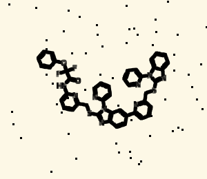 O=C(Nc1cccc(CSc2nc3ccc(-c4cccc(CSc5nc6ccccc6n5-c5ccccn5)n4)cc3n2-c2ccccn2)n1)C(F)(F)Oc1ccccc1